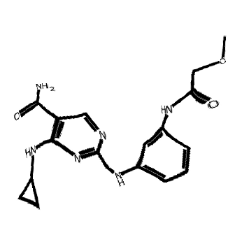 COCC(=O)Nc1cccc(Nc2ncc(C(N)=O)c(NC3CC3)n2)c1